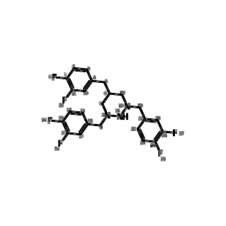 Fc1ccc(CC2CN(Cc3ccc(F)c(F)c3)NN(Cc3ccc(F)c(F)c3)C2)cc1F